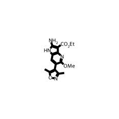 CCOC(=O)c1c(N)[nH]c2cc(-c3c(C)noc3C)c(OC)nc12